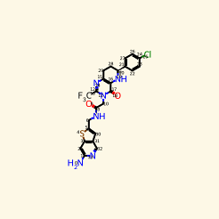 Nc1cc2sc(CNC(=O)Cn3c(C(F)(F)F)nc4c(c3=O)N[C@H](c3ccc(Cl)cc3)CC4)cc2cn1